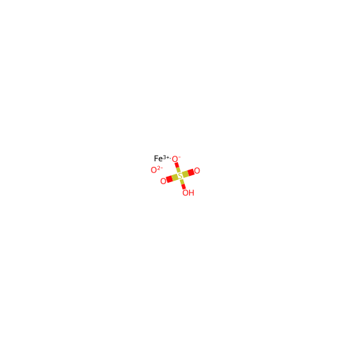 O=S(=O)([O-])O.[Fe+3].[O-2]